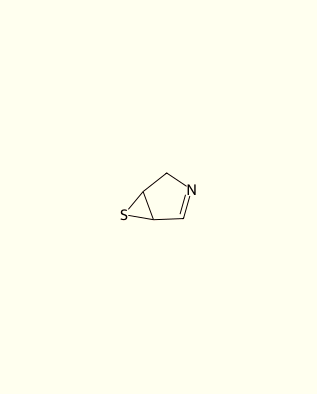 C1=NCC2SC12